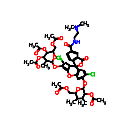 CC(=O)OCC1OC(Oc2cc3c(cc2Cl)C2(OC(=O)c4cc(C(=O)NCCN(C)C)ccc42)C2CC(Cl)C(OC4OC(COC(C)=O)C(OC(C)=O)C(OC(C)=O)C4C)C=C2O3)C(OC(C)=O)C(C)C1C